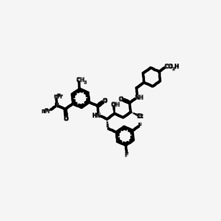 CCCN(CCC)C(=O)c1cc(C)cc(C(=O)N[C@@H](Cc2cc(F)cc(F)c2)[C@@H](O)C[C@@H](CC)C(=O)NCC2CCC(C(=O)O)CC2)c1